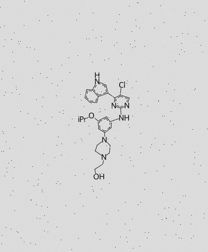 CC(C)Oc1cc(Nc2ncc(Cl)c(-c3c[nH]c4ccccc34)n2)cc(N2CCN(CCO)CC2)c1